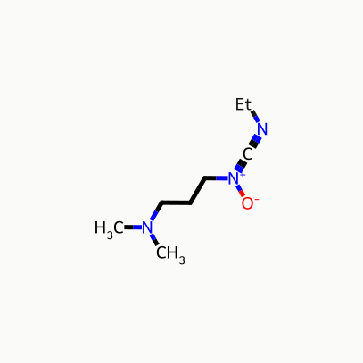 CCN=C=[N+]([O-])CCCN(C)C